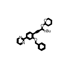 CCCCC(C#Cc1ccc(-c2ncccn2)cc1OCc1ccccc1)OC1CCCCO1